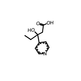 CCC(O)(CC(=O)O)c1ccncc1